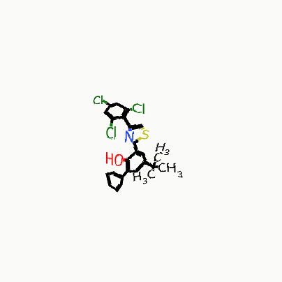 CC(C)(C)c1cc(-c2ccccc2)c(O)c(-c2nc(-c3c(Cl)cc(Cl)cc3Cl)cs2)c1